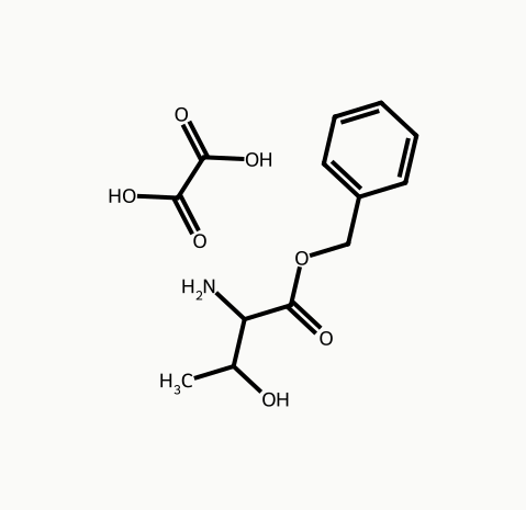 CC(O)C(N)C(=O)OCc1ccccc1.O=C(O)C(=O)O